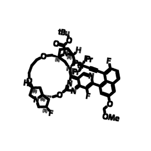 COCOc1cc(-c2ncc3c4nc(nc3c2F)OC[C@]23C[C@@H](F)CN2C[C@@H](C3)OCCCOC[C@]23CC[C@H](CN4C2)N3C(=O)OC(C)(C)C)c2c(C#C[Si](C(C)C)(C(C)C)C(C)C)c(F)ccc2c1